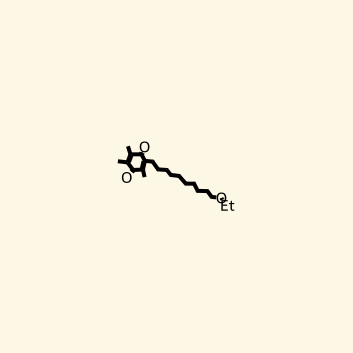 CCOCCCCCCCCCCC1=C(C)C(=O)C(C)=C(C)C1=O